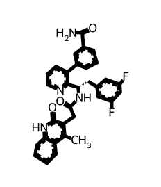 Cc1c(CC(=O)N[C@@H](Cc2cc(F)cc(F)c2)c2ncccc2-c2cccc(C(N)=O)c2)c(=O)[nH]c2ccccc12